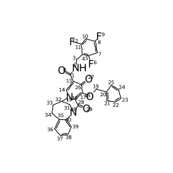 O=C(NCc1c(F)cc(F)cc1F)c1cn2c(c(OCc3ccccc3)c1=O)C(=O)N1CC2CCc2ccccc21